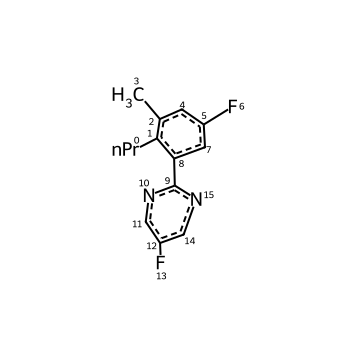 CCCc1c(C)cc(F)cc1-c1ncc(F)cn1